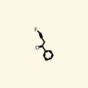 O=C(CC#CF)c1ccccc1